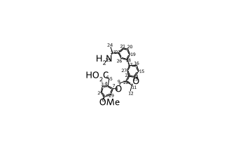 COc1ccc(CC(=O)O)c(OCc2c(C)oc3ccc(-c4cccc(C(C)N)c4)cc23)c1